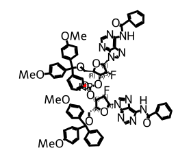 COc1ccc(C(OC[C@H]2O[C@@H](n3cnc4c(NC(=O)c5ccccc5)ncnc43)[C@@H](F)[C@H]2O[PH](=O)O[C@@H]2[C@H](F)[C@H](n3cnc4c(NC(=O)c5ccccc5)ncnc43)O[C@@H]2COC(c2ccccc2)(c2ccc(OC)cc2)c2ccc(OC)cc2)(c2ccccc2)c2ccc(OC)cc2)cc1